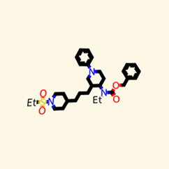 CCN(C(=O)OCc1ccccc1)C1CCN(c2ccccc2)CC1CCCC1CCN(S(=O)(=O)CC)CC1